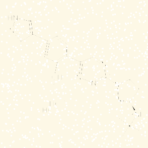 CC(C)(C)N[C@@H]1CCN(c2ncc(-c3ccc(-c4cn[nH]c4)cc3O)nn2)C1.Cl.Cl